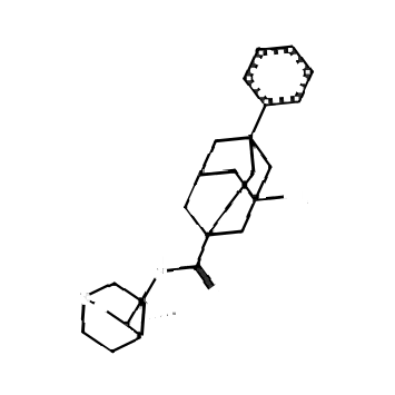 CC12CC3CC(C(=O)N[C@@H]4CN5CCC4CC5)(C1)CC(c1ccccc1)(C3)C2